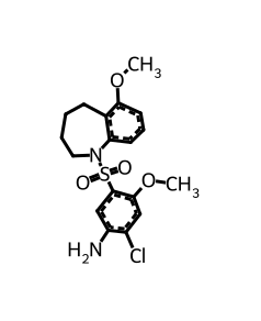 COc1cc(Cl)c(N)cc1S(=O)(=O)N1CCCCc2c(OC)cccc21